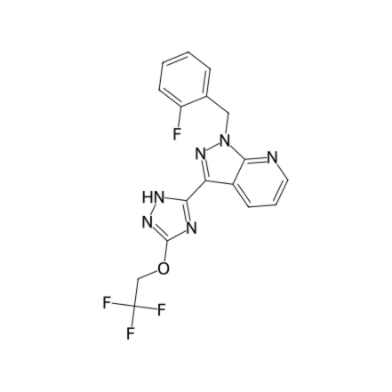 Fc1ccccc1Cn1nc(-c2nc(OCC(F)(F)F)n[nH]2)c2cccnc21